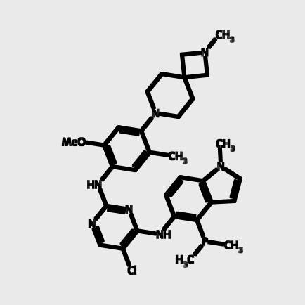 COc1cc(N2CCC3(CC2)CN(C)C3)c(C)cc1Nc1ncc(Cl)c(Nc2ccc3c(ccn3C)c2P(C)C)n1